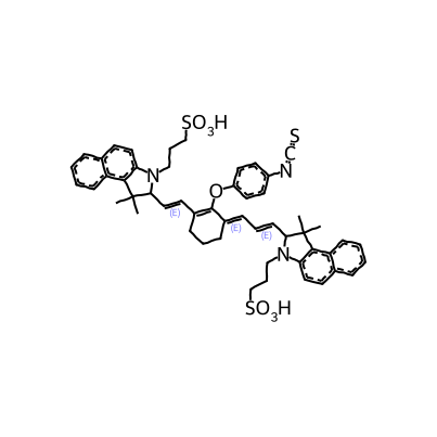 CC1(C)c2c(ccc3ccccc23)N(CCCS(=O)(=O)O)C1/C=C/C=C1\CCCC(/C=C/C2N(CCCS(=O)(=O)O)c3ccc4ccccc4c3C2(C)C)=C1Oc1ccc(N=C=S)cc1